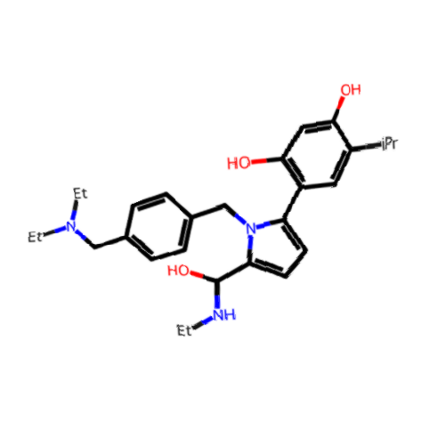 CCNC(O)c1ccc(-c2cc(C(C)C)c(O)cc2O)n1Cc1ccc(CN(CC)CC)cc1